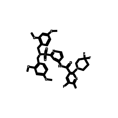 COc1ccc(CN(Cc2ccc(OC)cc2OC)S(=O)(=O)c2cc(NC(=O)c3cc(F)c(C)nc3N3CCC(F)(F)CC3)ccn2)c(OC)c1